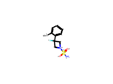 COc1ccccc1C1(F)CN(S(N)(=O)=O)C1